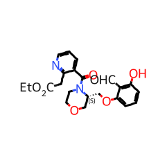 CCOC(=O)Cc1ncccc1C(=O)N1CCOC[C@H]1COc1cccc(O)c1C=O